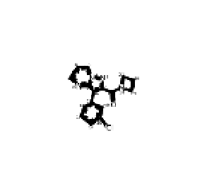 O=C(c1nn2cccnc2c1-c1cccc(Cl)c1)N1CCC1